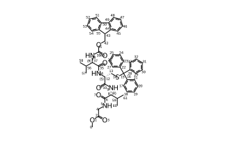 COC(=O)CNC(=O)[C@H](NC(=O)[C@@H](CSC(c1ccccc1)(c1ccccc1)c1ccccc1)NC(=O)[C@H](NC(=O)OCC1c2ccccc2-c2ccccc21)C(C)C)C(C)C